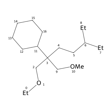 CCOCC(CCC(CC)CC)(COC)C1CCCCC1